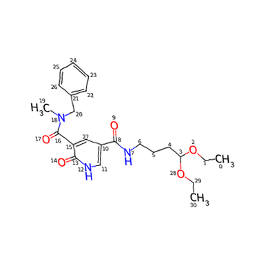 CCOC(CCCNC(=O)c1c[nH]c(=O)c(C(=O)N(C)Cc2ccccc2)c1)OCC